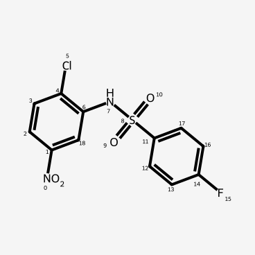 O=[N+]([O-])c1ccc(Cl)c(NS(=O)(=O)c2ccc(F)cc2)c1